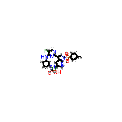 Cc1ccc(S(=O)(=O)n2cc(-c3ncc(F)c(NC4CCCC(NC(=O)O)C4)n3)c3cc(Cl)cnc32)cc1